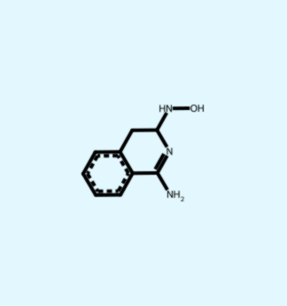 NC1=NC(NO)Cc2ccccc21